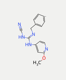 COc1cc(NC(=NCc2cc[c]cc2)NC#N)ccn1